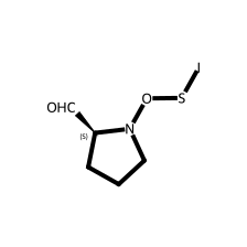 O=C[C@@H]1CCCN1OSI